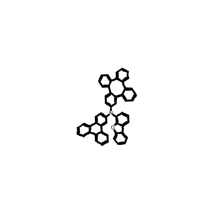 c1ccc2c(c1)-c1ccccc1-c1ccc(N(c3ccc4c5ccccc5c5ccccc5c4c3)c3cccc4c3oc3ccccc34)cc1-c1ccccc1-2